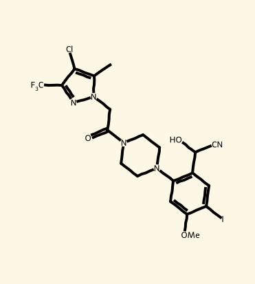 COc1cc(N2CCN(C(=O)Cn3nc(C(F)(F)F)c(Cl)c3C)CC2)c(C(O)C#N)cc1I